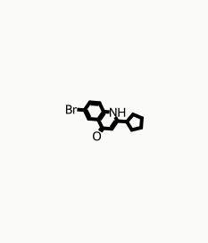 O=c1cc(C2CCCC2)[nH]c2ccc(Br)cc12